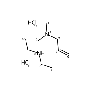 C=CCN(C)C.CCNCC.Cl.Cl